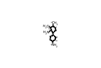 Cc1ccc(-c2ccc(N)cc2)c(N)c1C